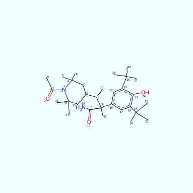 CC(=O)N1C(C)(C)CC(C(C)C(C)(C(N)=O)c2cc(C(C)(C)C)c(O)c(C(C)(C)C)c2)CC1(C)C